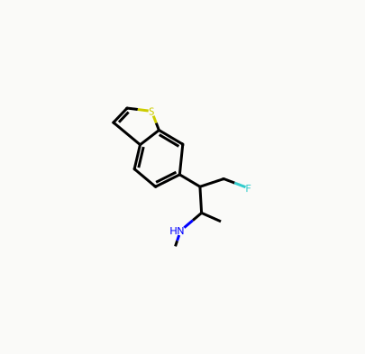 CNC(C)C(CF)c1ccc2ccsc2c1